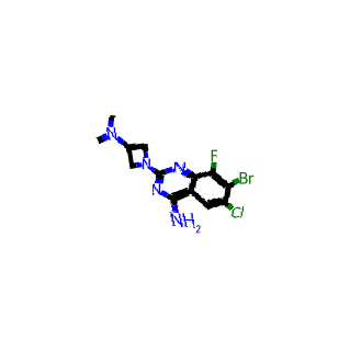 CN(C)C1CN(c2nc(N)c3cc(Cl)c(Br)c(F)c3n2)C1